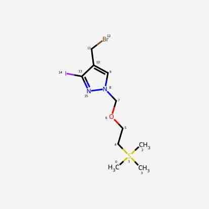 CS(C)(C)CCOCn1cc(CBr)c(I)n1